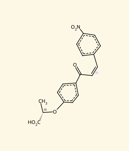 C[C@H](Oc1ccc(C(=O)/C=C\c2ccc([N+](=O)[O-])cc2)cc1)C(=O)O